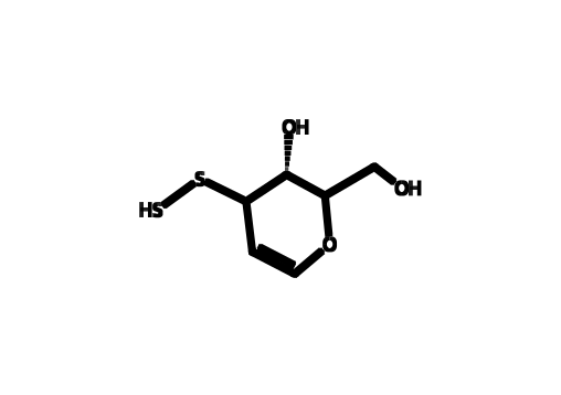 OCC1OC=CC(SS)[C@@H]1O